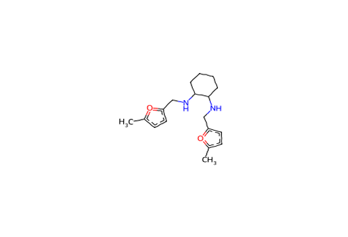 Cc1ccc(CNC2CCCCC2NCc2ccc(C)o2)o1